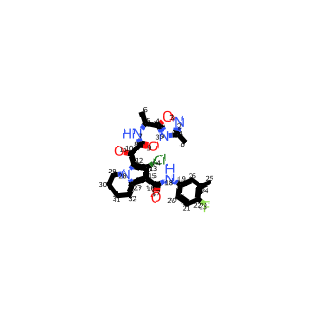 Cc1noc(C(C)NC(=O)C(=O)c2c(Cl)c(C(=O)Nc3ccc(F)c(C)c3)c3n2CCCC3)n1